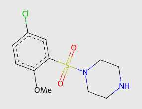 COc1ccc(Cl)cc1S(=O)(=O)N1CCNCC1